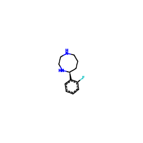 Fc1ccccc1[C@@H]1CCCNCCN1